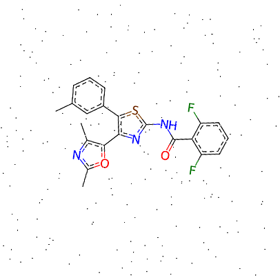 Cc1cccc(-c2sc(NC(=O)c3c(F)cccc3F)nc2-c2oc(C)nc2C)c1